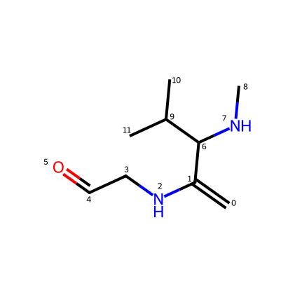 C=C(NCC=O)C(NC)C(C)C